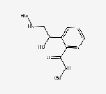 CC(C)(C)NCC(O)c1cccnc1C(=O)NC(C)(C)C